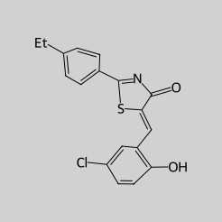 CCc1ccc(C2=NC(=O)C(=Cc3cc(Cl)ccc3O)S2)cc1